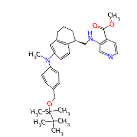 COC(=O)c1ccncc1NC[C@@H]1CCCc2cc(N(C)c3ccc(CO[Si](C)(C)C(C)(C)C)cc3)ccc21